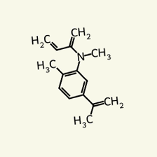 C=CC(=C)N(C)c1cc(C(=C)C)ccc1C